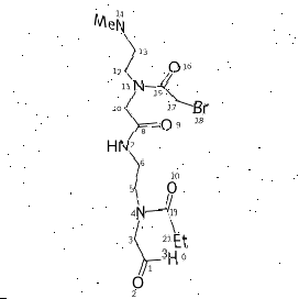 [3H]C(=O)CN(CCNC(=O)CN(CCNC)C(=O)CBr)C(=O)CC